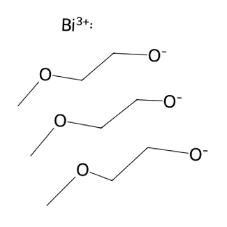 COCC[O-].COCC[O-].COCC[O-].[Bi+3]